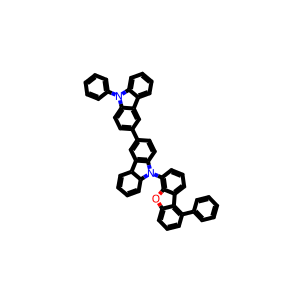 C1=CC2c3cc(-c4ccc5c(c4)c4ccccc4n5-c4ccccc4)ccc3N(c3cccc4c3oc3cccc(-c5ccccc5)c34)C2C=C1